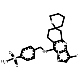 NS(=O)(=O)c1ccc(CNc2c3c(nc4c(Cl)cnn24)CC2(CCCCC2)CC3)cc1